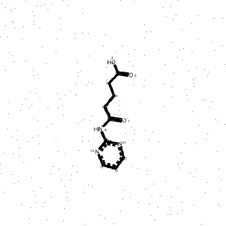 O=C(O)CCCC(=O)Nc1ncccn1